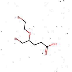 O=C(O)CCC(CBr)OCCBr